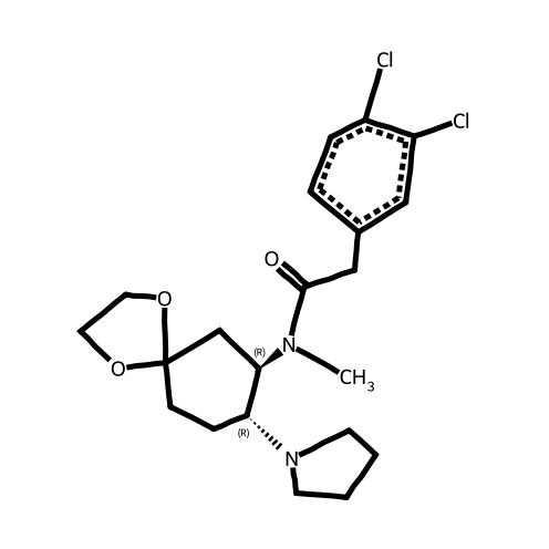 CN(C(=O)Cc1ccc(Cl)c(Cl)c1)[C@@H]1CC2(CC[C@H]1N1CCCC1)OCCO2